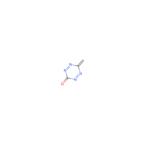 C=C1N=NC(=O)N=N1